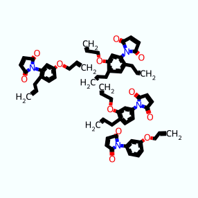 C=CCOc1cc(N2C(=O)C=CC2=O)c(CC=C)cc1CC=C.C=CCOc1cc(N2C(=O)C=CC2=O)ccc1CC=C.C=CCOc1ccc(CC=C)c(N2C(=O)C=CC2=O)c1.C=CCOc1cccc(N2C(=O)C=CC2=O)c1